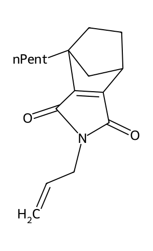 C=CCN1C(=O)C2=C(C1=O)C1(CCCCC)CCC2C1